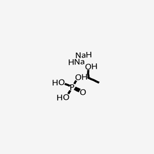 CCO.O=P(O)(O)O.[NaH].[NaH]